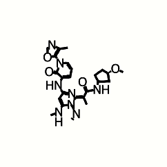 C=NN1C(NC)=CC(Nc2cccn(-c3ocnc3C)c2=O)=N/C1=C(/C)C(=O)NC1CC[C@@H](OC)C1